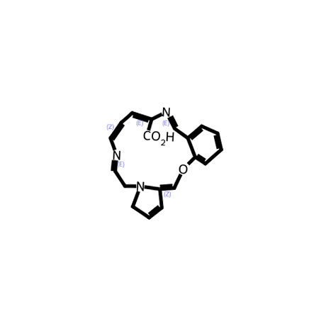 O=C(O)C1=C\C=C/N=C/CN2CC=C/C2=C/Oc2ccccc2\C=N\1